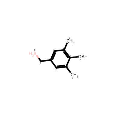 BCc1cc(C)c(OC(C)=O)c(C)c1